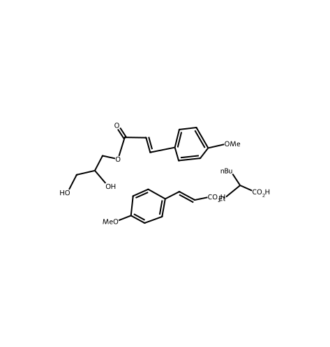 CCCCC(CC)C(=O)O.COc1ccc(C=CC(=O)O)cc1.COc1ccc(C=CC(=O)OCC(O)CO)cc1